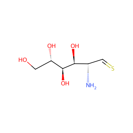 N[C@@H](C=S)[C@H](O)[C@@H](O)[C@@H](O)CO